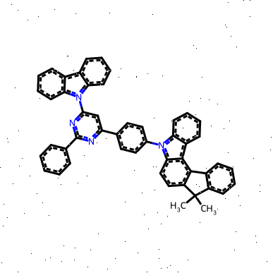 CC1(C)c2ccccc2-c2c1ccc1c2c2ccccc2n1-c1ccc(-c2cc(-n3c4ccccc4c4ccccc43)nc(-c3ccccc3)n2)cc1